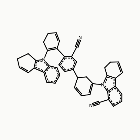 N#Cc1cc(C2C=CC=C(n3c4c(c5cccc(C#N)c53)C=CCC4)C2)ccc1C1=C(n2c3c(c4ccccc42)C=CCC3)CCC=C1